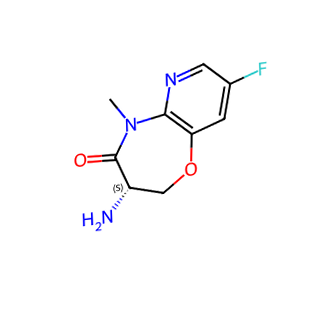 CN1C(=O)[C@@H](N)COc2cc(F)cnc21